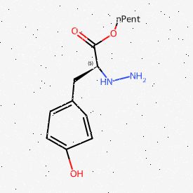 CCCCCOC(=O)[C@H](Cc1ccc(O)cc1)NN